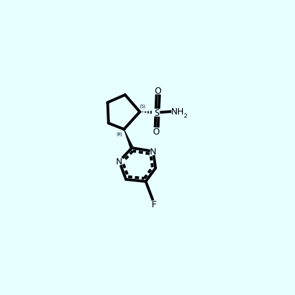 NS(=O)(=O)[C@H]1CCC[C@@H]1c1ncc(F)cn1